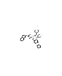 O=C1N[C@@H](C(Cc2ccc(Oc3ccccc3)cc2)N(CC2CCNCC2)C(=O)CC2CCNCC2)C(=O)N[C@H]1Cc1ccc2ccccc2c1